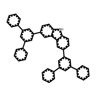 c1ccc(-c2cc(-c3ccccc3)cc(-c3ccc4[nH]c5ccc(-c6cc(-c7ccccc7)cc(-c7ccccc7)c6)cc5c4c3)c2)cc1